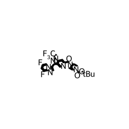 CC(C)(C)OC(=O)N1CC2CC1CN2C(=O)c1cc2c(cn1)c(-c1cnc3c(F)cc(F)cn13)nn2CC(F)(F)F